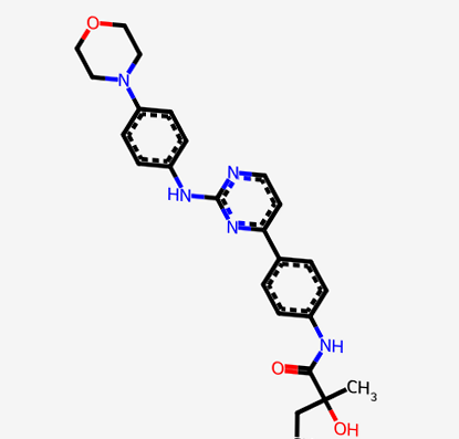 CCC(C)(O)C(=O)Nc1ccc(-c2ccnc(Nc3ccc(N4CCOCC4)cc3)n2)cc1